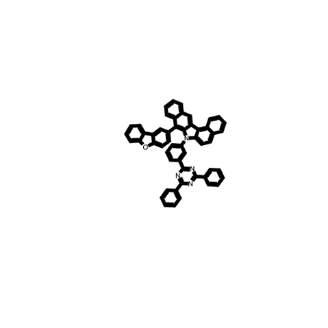 c1ccc(-c2nc(-c3ccccc3)nc(-c3cccc(-n4c5ccc6ccccc6c5c5cc6ccccc6c(-c6ccc7oc8ccccc8c7c6)c54)c3)n2)cc1